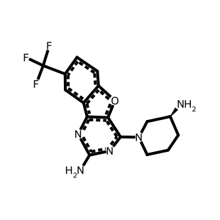 Nc1nc(N2CCC[C@H](N)C2)c2oc3ccc(C(F)(F)F)cc3c2n1